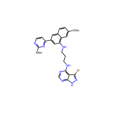 CNc1nccc(-c2cc(NCCCNc3ncnc4[nH]nc(Br)c34)c3cc(OC)ccc3c2)n1